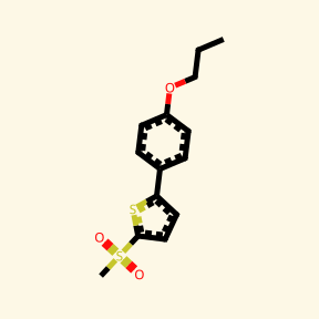 CCCOc1ccc(-c2ccc(S(C)(=O)=O)s2)cc1